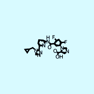 O=C(Nc1cccc(-c2nncn2CC2CC2)n1)c1cc(-n2cncc2C(=O)O)c(F)cc1F